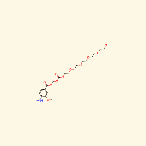 CNc1ccc(C(=O)OCOC(=O)OCCOCCOCCOCCOCCOC)cc1OC